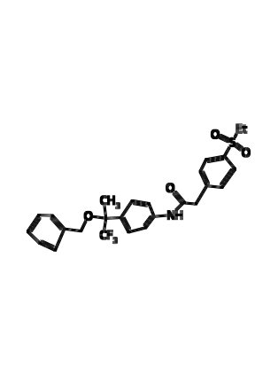 CCS(=O)(=O)c1ccc(CC(=O)Nc2ccc(C(C)(OCc3ccccc3)C(F)(F)F)cc2)cc1